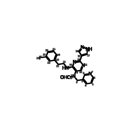 O=CN(Cc1cccnc1)c1cnc(-c2cn[nH]c2)nc1NCCc1cccc(F)c1